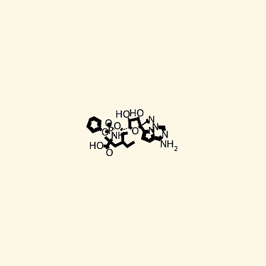 CCC(CC)CC(C)(N[P@@](=O)(OC[C@H]1O[C@@](C#N)(c2ccc3c(N)ncnn23)[C@H](O)[C@@H]1O)Oc1ccccc1)C(=O)O